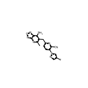 Cc1nc2nonc2c(N)c1Cc1ccc(-n2cc(F)cn2)c(C#N)n1